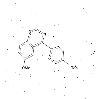 COc1ccc2ncnc(-c3ccc([N+](=O)[O-])cc3)c2c1